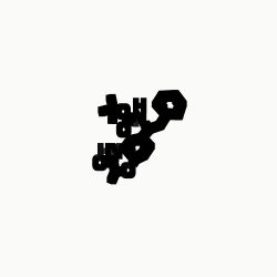 CC1Oc2ccc(C(Cc3ccccc3)NC(=O)OC(C)(C)C)cc2NC1=O